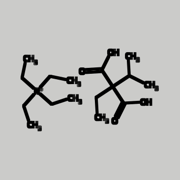 CCC(C(=O)O)(C(=O)O)C(C)C.CC[N+](CC)(CC)CC